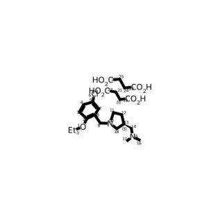 CCOc1ccc(Cl)cc1CN1CC[C@@H](CN(C)C)C1.O=C(O)CCC(=O)O.O=C(O)CCC(=O)O